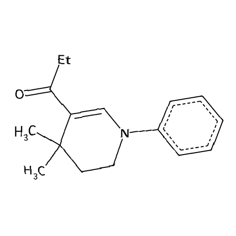 CCC(=O)C1=CN(c2ccccc2)CCC1(C)C